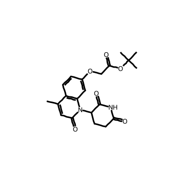 Cc1cc(=O)n(C2CCC(=O)NC2=O)c2cc(OCC(=O)OC(C)(C)C)ccc12